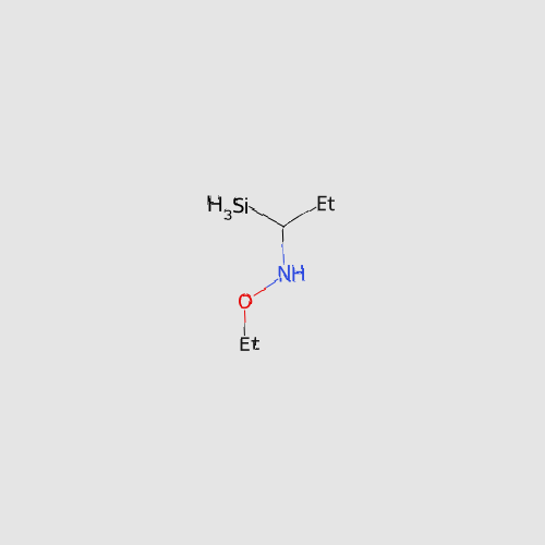 CCONC([SiH3])CC